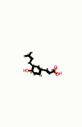 CC(C)=CCc1cc(C=CC(=O)O)ccc1O